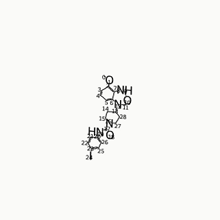 COc1cccc2c1NCOCN2C1CCN(C(=O)Nc2ccc(I)cc2)CC1